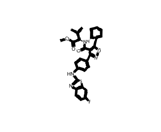 COC(=O)[C@@H](NC(=O)c1c(-c2ccc(Nc3nc4ccc(F)cc4s3)cc2)noc1-c1ccccc1)C(C)C